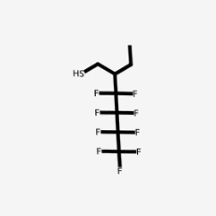 CCC(CS)C(F)(F)C(F)(F)C(F)(F)C(F)(F)F